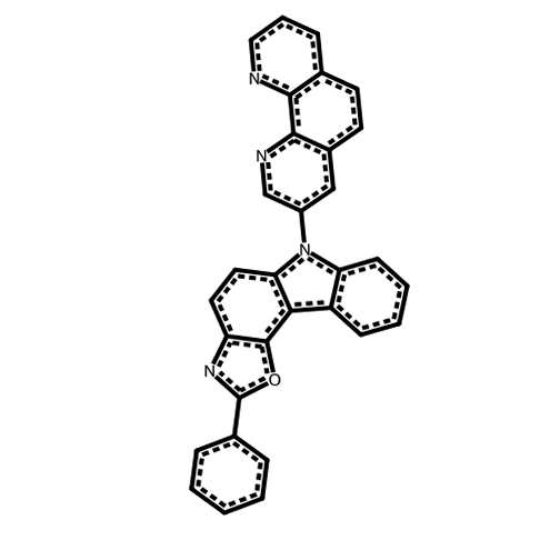 c1ccc(-c2nc3ccc4c(c5ccccc5n4-c4cnc5c(ccc6cccnc65)c4)c3o2)cc1